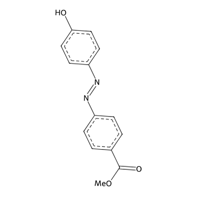 COC(=O)c1ccc(N=Nc2ccc(O)cc2)cc1